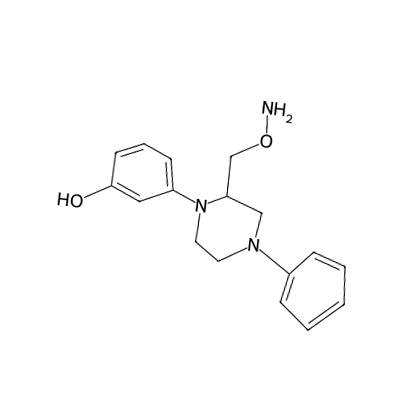 NOCC1CN(c2ccccc2)CCN1c1cccc(O)c1